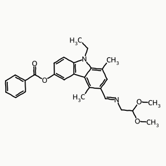 CCn1c2ccc(OC(=O)c3ccccc3)cc2c2c(C)c(C=NCC(OC)OC)cc(C)c21